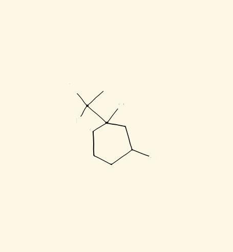 CC1CCCC(O)(C(F)(F)F)C1